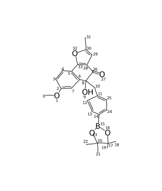 COc1ccc2c(c1)C(O)(Cc1ccc(B3OC(C)(C)C(C)(C)O3)cc1)C(=O)c1cc(C)oc1-2